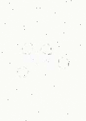 ClCC1(N(Cc2ccccc2)Cc2ccccc2)CCN(Cc2ccccc2)C1Cc1ccccc1